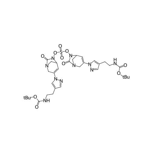 CC(C)(C)OC(=O)NCCc1cnn(C2=CC3CN(C2)C(=O)N3OS(=O)(=O)ON2C(=O)N3CC(n4cc(CCNC(=O)OC(C)(C)C)cn4)=CC2C3)c1